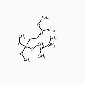 CO[Si](CC[SiH](C)O[SiH3])(OC)OC.C[SiH2]O[SiH3]